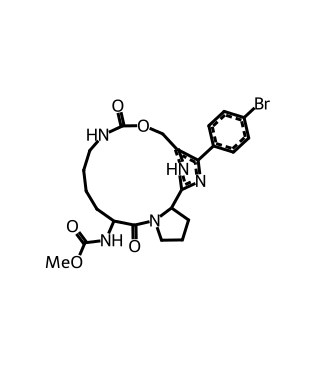 COC(=O)NC1CCCCNC(=O)OCc2[nH]c(nc2-c2ccc(Br)cc2)C2CCCN2C1=O